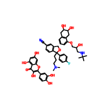 CC(C)(C)NCC(O)COc1cccc2c1C[C@H](O)[C@H](O)C2.CN(C)CCCC1(c2ccc(F)cc2)OCc2cc(C#N)ccc21.O=c1c(O)c(-c2ccc(O)c(O)c2)oc2cc(O)cc(O)c12